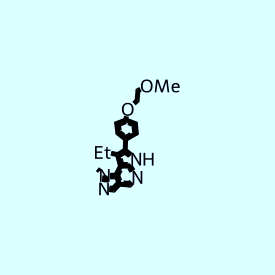 CCc1c(-c2ccc(OCCOC)cc2)[nH]c2ncc3cnn(C)c3c12